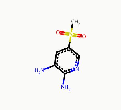 CS(=O)(=O)c1cnc(N)c(N)c1